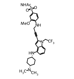 COc1cc(S(=O)(=O)NC(C)=O)ccc1NCC#Cc1cc2c(N[C@H]3CC[C@@H](N(C)C)CC3)cccc2n1CC(F)(F)F